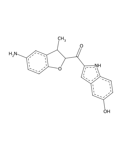 CC1c2cc(N)ccc2OC1C(=O)c1cc2cc(O)ccc2[nH]1